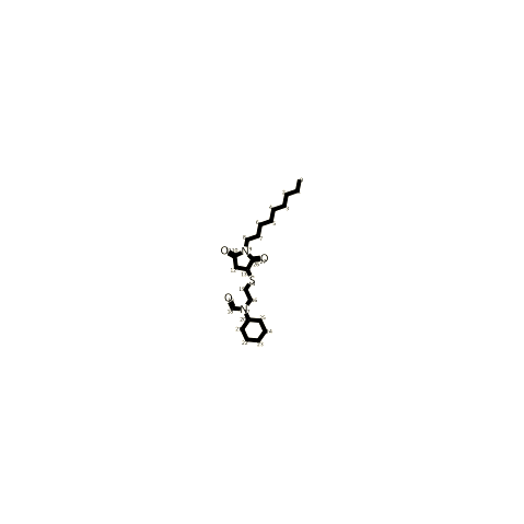 CCCCCCCCCN1C(=O)CC(SCCN(C=O)C2CCCCC2)C1=O